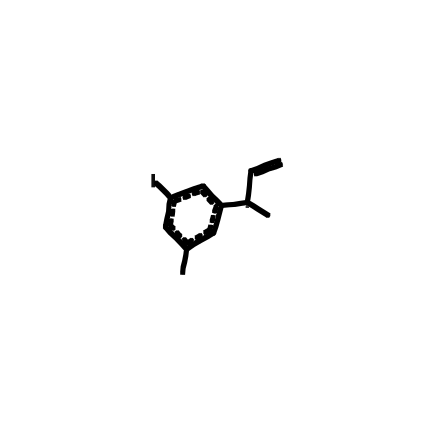 C=C[C](C)c1cc(C)cc(I)c1